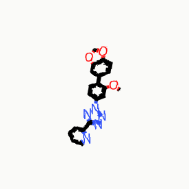 COc1cc(-n2nnc(-c3ccccn3)n2)ccc1-c1ccc2c(c1)OCO2